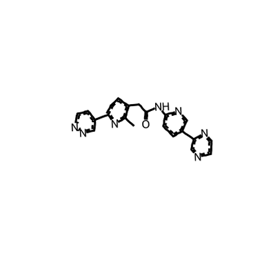 Cc1nc(-c2ccnnc2)ccc1CC(=O)Nc1ccc(-c2cnccn2)cn1